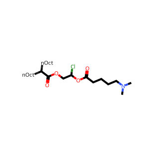 CCCCCCCCC(CCCCCCCC)C(=O)OCC(Cl)OC(=O)CCCCN(C)C